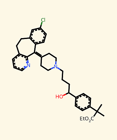 CCOC(=O)C(C)(C)c1ccc(C(O)CCCN2CCC(=C3c4ccc(Cl)cc4CCc4cccnc43)CC2)cc1